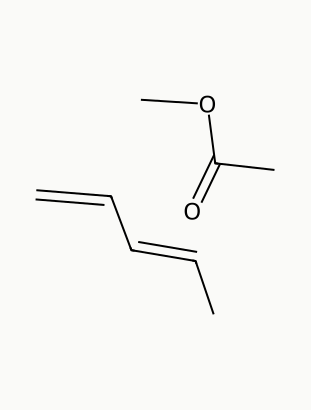 C=CC=CC.COC(C)=O